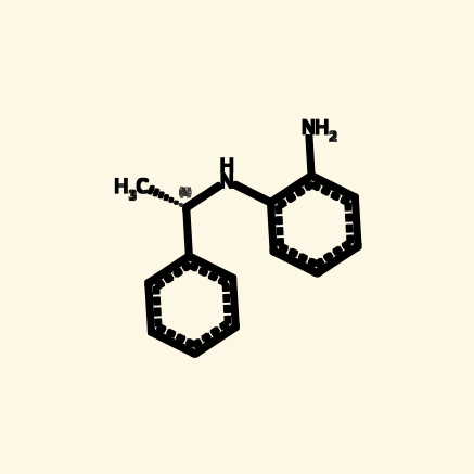 C[C@H](Nc1ccccc1N)c1ccccc1